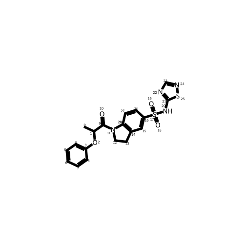 CC(Oc1ccccc1)C(=O)N1CCc2cc(S(=O)(=O)Nc3ncns3)ccc21